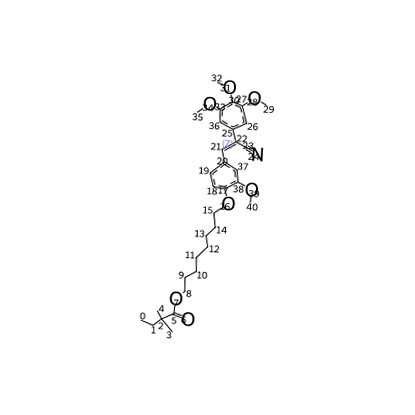 CCC(C)(C)C(=O)OCCCCCCCCOc1ccc(/C=C(\C#N)c2cc(OC)c(OC)c(OC)c2)cc1OC